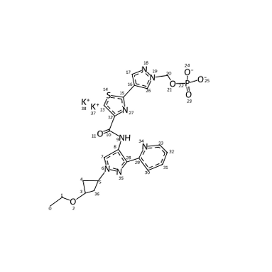 CCOC1CC(n2cc(NC(=O)c3csc(-c4cnn(COP(=O)([O-])[O-])c4)n3)c(-c3ccccn3)n2)C1.[K+].[K+]